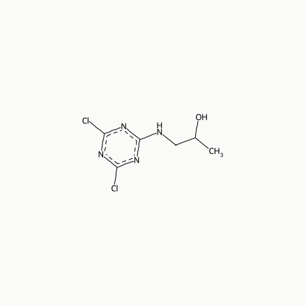 CC(O)CNc1nc(Cl)nc(Cl)n1